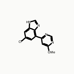 COc1cc(-c2cc(Cl)cc3[nH]cnc23)ncn1